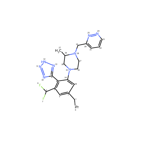 CC(C)Cc1cc(C(F)F)c(-c2nn[nH]n2)c(N2CCN(Cc3cccnn3)C(C)C2)c1